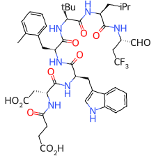 Cc1ccccc1C[C@H](NC(=O)[C@@H](Cc1c[nH]c2ccccc12)NC(=O)[C@@H](CC(=O)O)NC(=O)CCC(=O)O)C(=O)N[C@H](C(=O)N[C@@H](CC(C)C)C(=O)N[C@H](C=O)CC(F)(F)F)C(C)(C)C